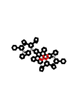 c1ccc(-c2ccccc2-c2c3ccc(N(c4cc(C5CC6CCC5C6)cc(C5CC6CCC5C6)c4)c4ccc5c6ccccc6n(-c6cccc(C7CCCCC7)c6)c5c4)cc3c(-c3ccccc3-c3ccccc3)c3ccc(N(c4cc(C5CC6CCC5C6)cc(C5CC6CCC5C6)c4)c4ccc5c6ccccc6n(-c6cccc(C7CCCCC7)c6)c5c4)cc23)cc1